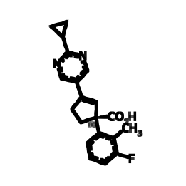 Cc1c(F)cccc1[C@@]1(C(=O)O)C=C(c2cnc(C3CC3)nc2)CC1